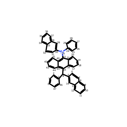 c1ccc(C(c2ccc3ccccc3c2)c2c3ccccc3c(N(c3ccccc3)c3ccc4ccccc4c3)c3ccccc23)cc1